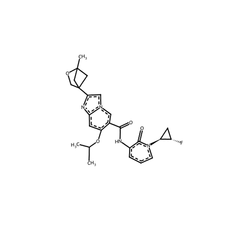 CC(C)Oc1cc2nc(C34COC(C)(C3)C4)cn2cc1C(=O)Nc1cccn([C@H]2C[C@@H]2F)c1=O